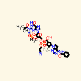 CC(C)C(=O)Nc1nc2c(ncn2C2OC(COP(=O)(OCCC#N)OC3C(CO)CC(n4ccc5c(NC(=O)c6ccccc6)ncnc54)C3C)C(C)C2O[PH](=O)O)c(=O)[nH]1